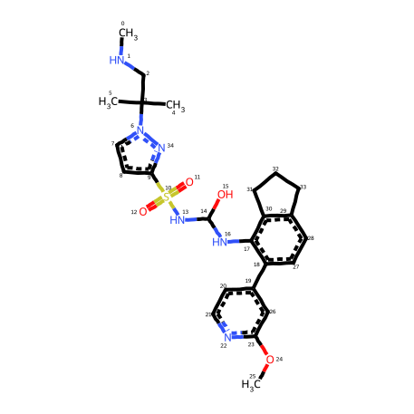 CNCC(C)(C)n1ccc(S(=O)(=O)NC(O)Nc2c(-c3ccnc(OC)c3)ccc3c2CCC3)n1